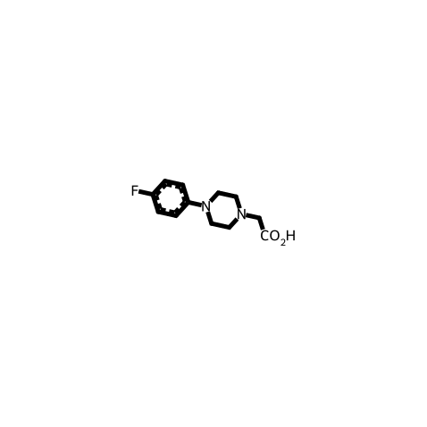 O=C(O)CN1CCN(c2ccc(F)cc2)CC1